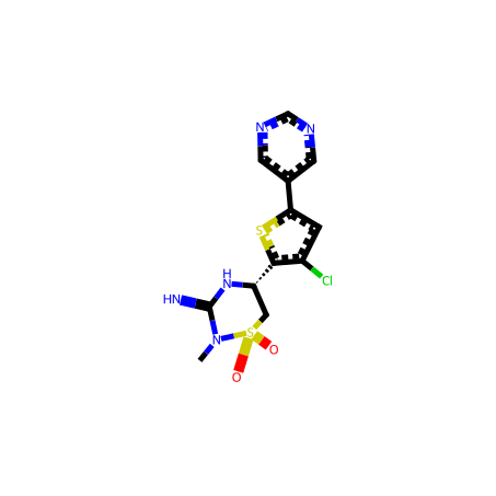 CN1C(=N)N[C@H](c2sc(-c3cncnc3)cc2Cl)CS1(=O)=O